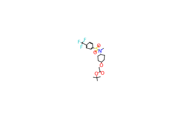 CN([C@H]1CC[C@H](OCC(=O)OC(C)(C)C)CC1)S(=O)(=O)c1ccc(C(F)(F)F)cc1